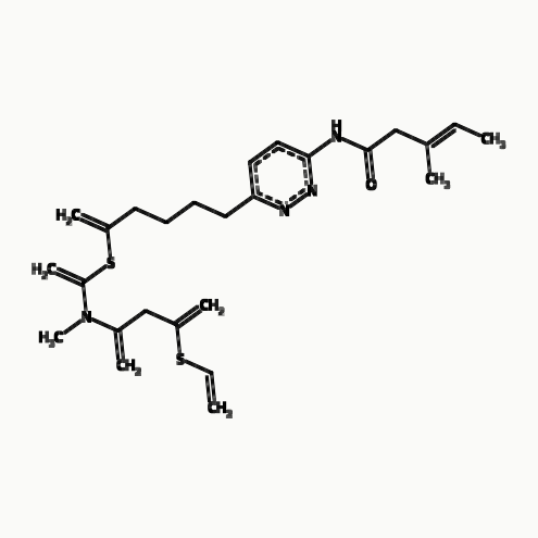 C=CSC(=C)CC(=C)N(C)C(=C)SC(=C)CCCCc1ccc(NC(=O)C/C(C)=C/C)nn1